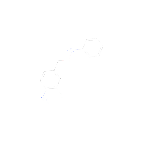 Nc1ccc(CONc2ccccc2)cc1Cl